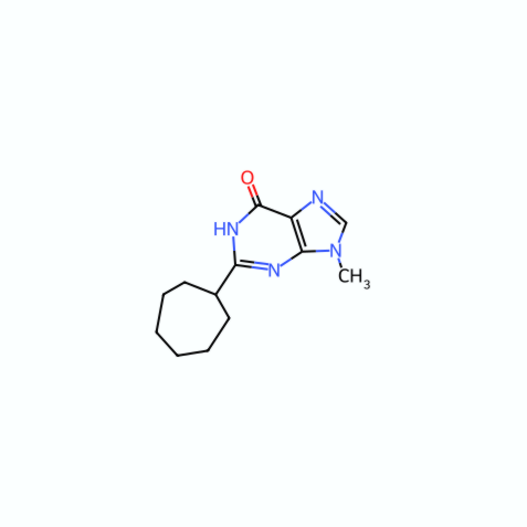 Cn1cnc2c(=O)[nH]c(C3CCCCCC3)nc21